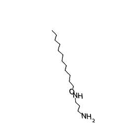 CCCCCCCCCCCCONCCCN